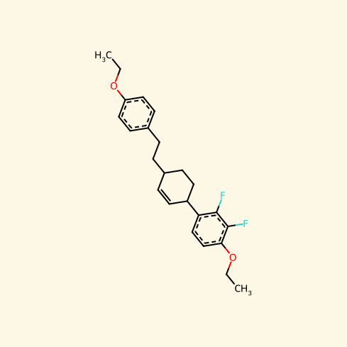 CCOc1ccc(CCC2C=CC(c3ccc(OCC)c(F)c3F)CC2)cc1